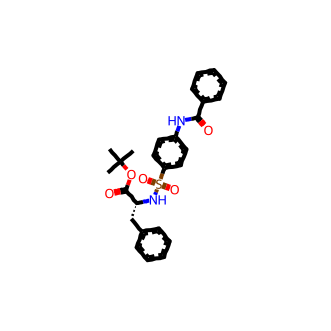 CC(C)(C)OC(=O)[C@@H](Cc1ccccc1)NS(=O)(=O)c1ccc(NC(=O)c2ccccc2)cc1